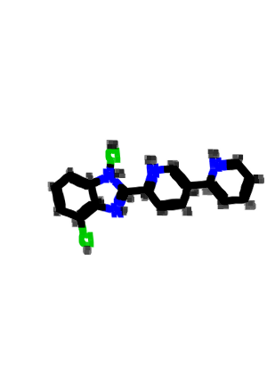 Clc1cccc2c1nc(-c1ccc(-c3ccccn3)cn1)n2Cl